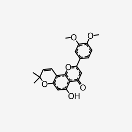 COc1ccc(-c2cc(=O)c3c(O)cc4c(c3o2)C=CC(C)(C)O4)cc1OC